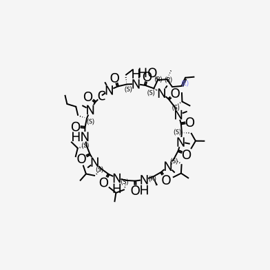 C/C=C/C[C@@H](C)[C@@H](O)[C@H]1C(=O)N[C@@H](CC)C(=O)N(C)CC(=O)N(C)[C@@H](CCCC)C(=O)N[C@@H](C(C)C)C(=O)N(C)[C@@H](CC(C)C)C(=O)N[C@@H](CC(C)C)C(=O)N[C@H](C)C(=O)N(C)[C@@H](CC(C)C)C(=O)N(C)[C@@H](CC(C)C)C(=O)N(C)[C@@H](C(C)C)C(=O)N1C